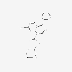 O=C(NC1CCCNC1)c1cnc(-c2ccccc2)c2ccc(F)cc12